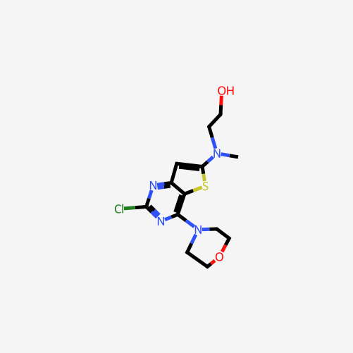 CN(CCO)c1cc2nc(Cl)nc(N3CCOCC3)c2s1